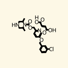 CC1CNCC(C)N1C(=O)OCc1ccc(OCc2cccc(Cl)c2)cn1.O=C(O)C=CC(=O)O